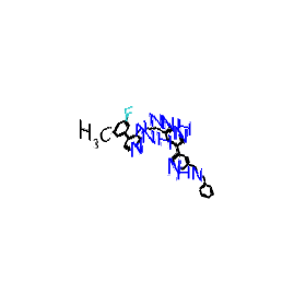 Cc1cc(F)cc(-c2ccnc3[nH]c(-c4n[nH]c5ncc(-c6cncc(CNCc7ccccc7)c6)cc45)nc23)c1